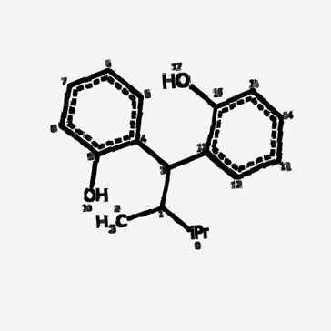 CC(C)C(C)C(c1ccccc1O)c1ccccc1O